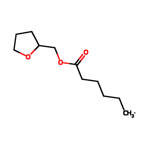 [CH2]CCCCC(=O)OCC1CCCO1